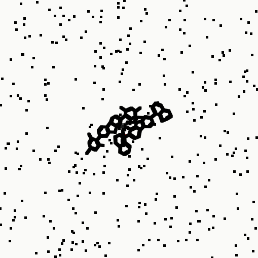 CCC[CH2][Hf]([CH2]CCC)([c]1c(-c2c(C)cc(C)cc2C)ccc2c1Cc1cc(-c3c(C)cc(C)cc3C)ccc1-2)[c]1c(-c2cccc3ccccc23)ccc2c1Cc1cc(-c3cccc4ccccc34)ccc1-2